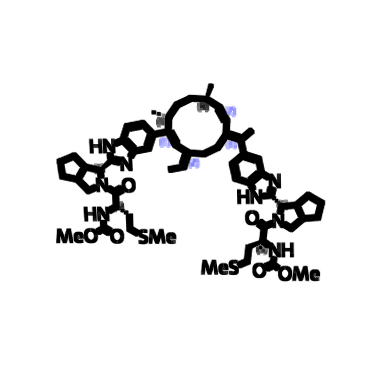 C/C=C1\C=C(\c2ccc3[nH]c([C@@H]4C5CCCC5CN4C(=O)[C@H](CCSC)NC(=O)OC)nc3c2)[C@H](C)CC[C@@H](C)/C=C\C(=C(/C)c2ccc3[nH]c([C@@H]4C5CCCC5CN4C(=O)[C@H](CCSC)NC(=O)OC)nc3c2)CC1